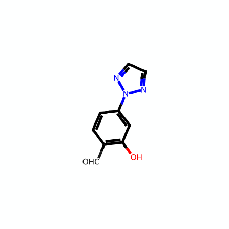 O=Cc1ccc(-n2nccn2)cc1O